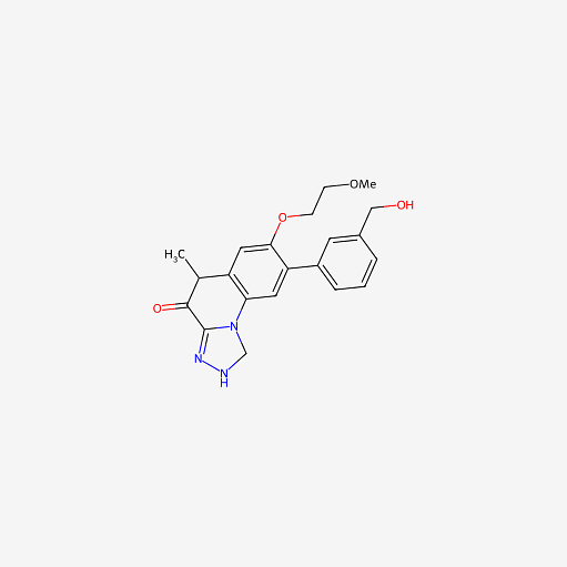 COCCOc1cc2c(cc1-c1cccc(CO)c1)N1CNN=C1C(=O)C2C